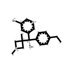 CCc1ccc([C@](O)(c2cncc(Br)c2)C2(C)CN(C)C2)cc1